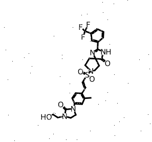 Cc1cc(N2CCN(CCO)C2=O)ccc1/C=C/S(=O)(=O)N1CCC2(CC1)N=C(c1cccc(C(F)(F)F)c1)NC2=O